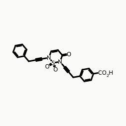 O=C(O)c1ccc(CC#CN2C(=O)C=CN(C#CCc3ccccc3)S2(=O)=O)cc1